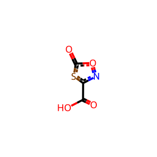 O=C(O)c1noc(=O)s1